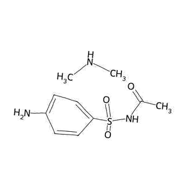 CC(=O)NS(=O)(=O)c1ccc(N)cc1.CNC